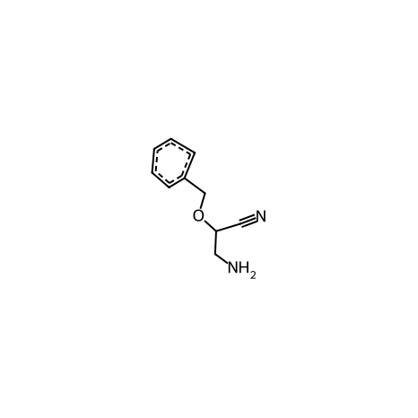 N#CC(CN)OCc1ccccc1